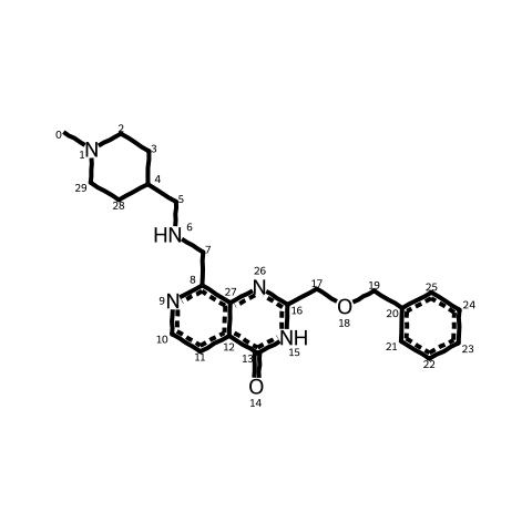 CN1CCC(CNCc2nccc3c(=O)[nH]c(COCc4ccccc4)nc23)CC1